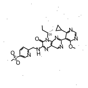 CC[C@H](C)n1c(=O)c(NCc2ccc(S(C)(=O)=O)cn2)nc2cnc(-c3c(OC)ncnc3C3CC3)nc21